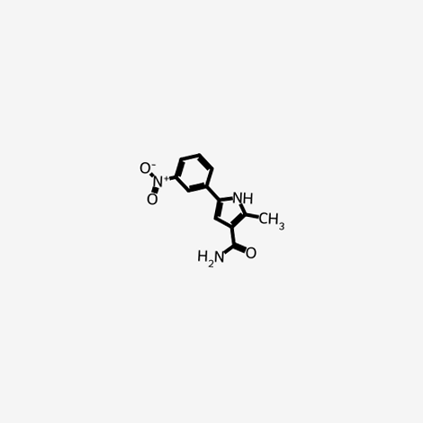 Cc1[nH]c(-c2cccc([N+](=O)[O-])c2)cc1C(N)=O